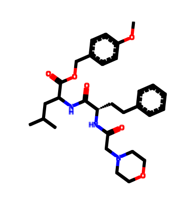 COc1ccc(COC(=O)C(CC(C)C)NC(=O)[C@H](CCc2ccccc2)NC(=O)CN2CCOCC2)cc1